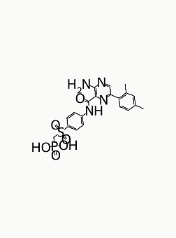 Cc1ccc(-c2cnc(N)c(C(=O)Nc3ccc(S(=O)(=O)CP(=O)(O)O)cc3)n2)c(C)c1